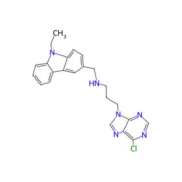 CCn1c2ccccc2c2cc(CNCCCn3cnc4c(Cl)ncnc43)ccc21